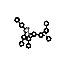 N=C(/N=C(\Nn1c2ccc(-c3ccccc3)cc2c2cc(-c3ccc4c(c3)c3cc(-c5ccccc5)ccc3n4-c3ccccc3)ccc21)c1ccc(-c2ccccc2)cc1)c1ccc(-c2ccccc2)cc1